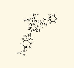 C#CC1(NC(=O)[C@H](CC(F)(F)Cc2ccncc2)NC(=O)N2CC3(CCN(C4CC4)CC3)C2)CC1